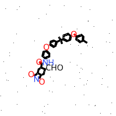 Cc1ccc(Oc2ccc(C(C)(C)c3ccc(Oc4ccc(NC(=O)C5CC6C(=O)N(C)C(=O)C6CC5C=O)cc4)cc3)cc2)cc1